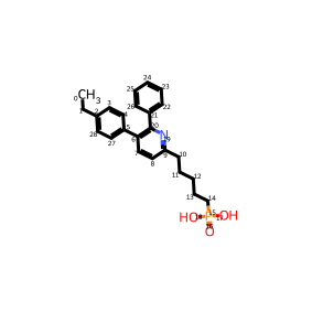 CCc1ccc(-c2ccc(CCCCCP(=O)(O)O)nc2-c2ccccc2)cc1